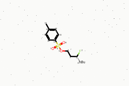 CCCC[C@@H](F)CCOS(=O)(=O)c1ccc(C)cc1